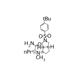 CCC[C@@H](C(N)=O)N(C)[C@H]1CC[C@@H]2CN(S(=O)(=O)c3ccc(C(C)(C)C)cc3)C[C@@H]21